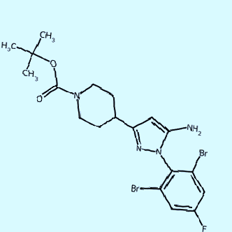 CC(C)(C)OC(=O)N1CCC(c2cc(N)n(-c3c(Br)cc(F)cc3Br)n2)CC1